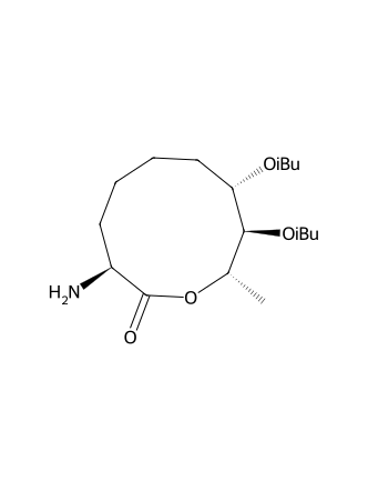 CC(C)CO[C@H]1[C@H](C)OC(=O)[C@@H](N)CCCC[C@@H]1OCC(C)C